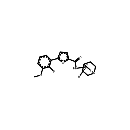 COc1cccc(-c2ccc(C(=O)N[C@H]3CN4CCC3CC4)o2)c1F